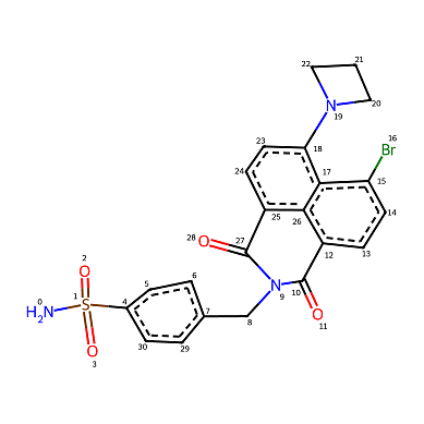 NS(=O)(=O)c1ccc(CN2C(=O)c3ccc(Br)c4c(N5CCC5)ccc(c34)C2=O)cc1